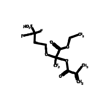 C=C(C)C(=O)OC(OCCC(F)(F)S(=O)(=O)O)(C(=O)OCC(F)(F)F)C(F)(F)F